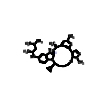 C=C1/N=C2\Nc3cc(NC(C)CN(C)C)ccc3N2C(C2CC2)CCCOc2c(cnn2C)-c2cc1cc(C)n2